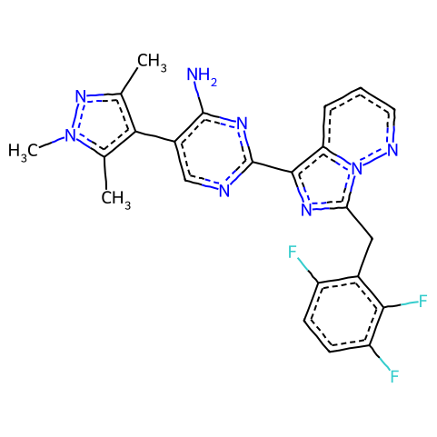 Cc1nn(C)c(C)c1-c1cnc(-c2nc(Cc3c(F)ccc(F)c3F)n3ncccc23)nc1N